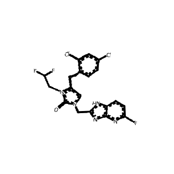 O=c1n(Cc2nc3nc(F)ccc3[nH]2)cc(Cc2ccc(Cl)cc2Cl)n1CC(F)F